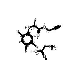 C#CCOC(=O)[C@H](C)Nc1cc(C)c(C)cc1C.NCC(=O)O